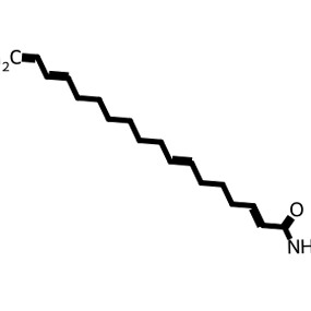 C=CC=CCCCCCCC=CCCCC=CC(N)=O